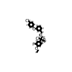 CCOc1ccc(C(Cl)(COCc2cccc(Oc3ccc(Cl)cc3)c2)C(F)(F)F)cc1F